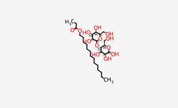 CCCCCCCCCCCCCCOC(=O)CC.OC[C@H]1O[C@@H](O[C@H]2[C@H](O)[C@@H](O)[C@H](O)O[C@@H]2CO)[C@H](O)[C@@H](O)[C@H]1O